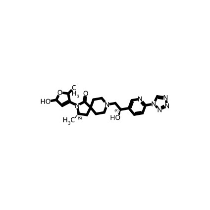 CC1OC(O)C=C1N1C(=O)C2(CCN(C[C@H](O)c3ccc(-n4cnnn4)nc3)CC2)C[C@@H]1C